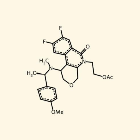 COc1ccc([C@@H](C)N(C)C2COCc3c2c2cc(F)c(F)cc2c(=O)n3CCOC(C)=O)cc1